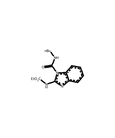 CCCCNC(=O)n1c(NC(=O)OCC)nc2ccccc21